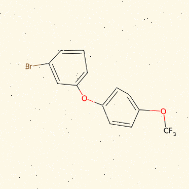 FC(F)(F)Oc1ccc(Oc2cc[c]c(Br)c2)cc1